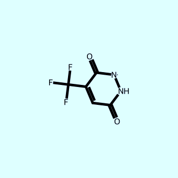 O=C1C=C(C(F)(F)F)C(=O)[N]N1